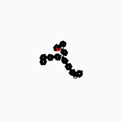 c1cc(N(c2ccc(-c3ccc(-c4ccc5oc6ccccc6c5c4)cc3)cc2)c2ccc(-c3ccc(-c4cccc5ccccc45)cc3)cc2)cc(-n2c3ccccc3c3ccccc32)c1